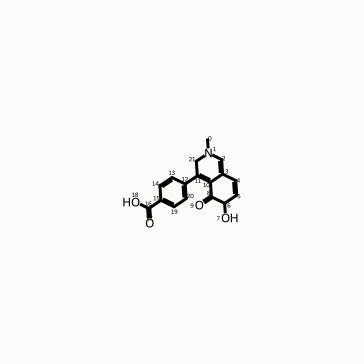 CN1C=C2C=CC(O)C(=O)C2=C(c2ccc(C(=O)O)cc2)C1